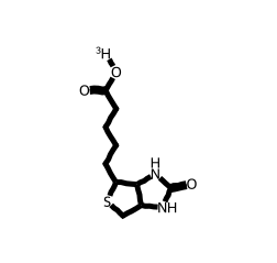 [3H]OC(=O)CCCCC1SCC2NC(=O)NC21